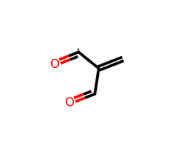 C=C([C]=O)C=O